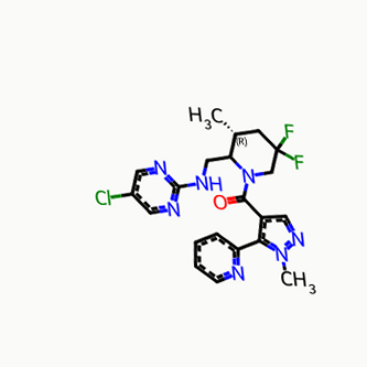 C[C@@H]1CC(F)(F)CN(C(=O)c2cnn(C)c2-c2ccccn2)C1CNc1ncc(Cl)cn1